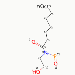 CCCCCCCCCCCCCC(=O)N(CCO)P=O